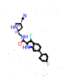 N#C[C@@H]1CN[C@H](CNC(=O)c2[nH]c3cc(-c4ccc(F)cc4)ccc3c2F)C1